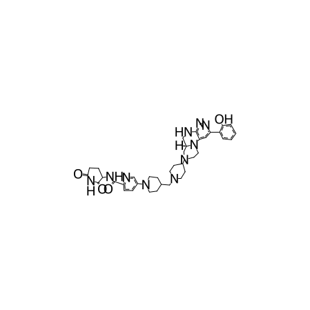 O=C1CCC(NC(=O)c2ccc(N3CCC(CN4CCC(N5CCN6c7cc(-c8ccccc8O)nnc7NC[C@H]6C5)CC4)CC3)cn2)C(=O)N1